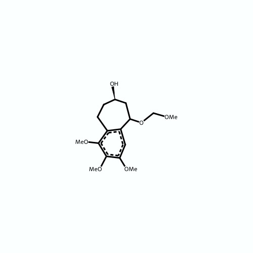 COCOC1C[C@H](O)CCc2c1cc(OC)c(OC)c2OC